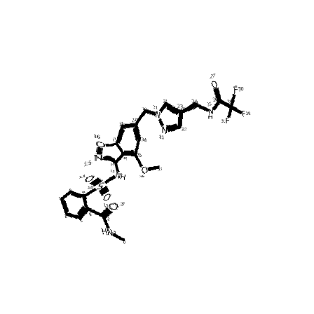 CNC(=O)c1ccccc1S(=O)(=O)Nc1noc2cc(Cn3cc(CNC(=O)C(F)(F)F)cn3)cc(OC)c12